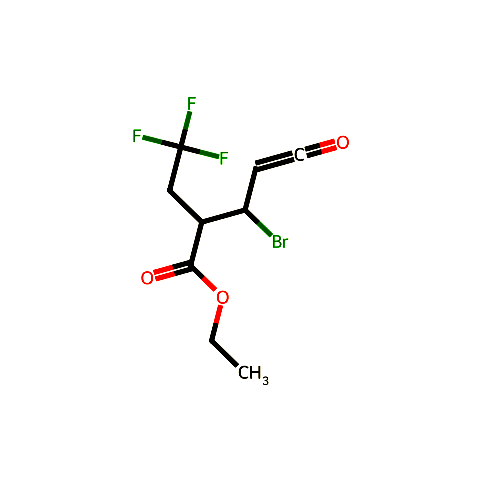 CCOC(=O)C(CC(F)(F)F)C(Br)C=C=O